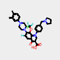 Cc1ccc(N2CCN(c3c(F)cc4c(=O)c(C(=O)O)cn(-c5ccc(CN6CCCC6)cc5)c4c3OC(F)(F)Cl)CC2)cc1C